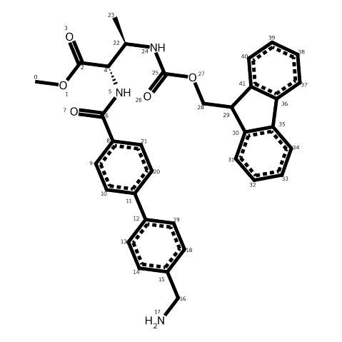 COC(=O)[C@@H](NC(=O)c1ccc(-c2ccc(CN)cc2)cc1)[C@@H](C)NC(=O)OCC1c2ccccc2-c2ccccc21